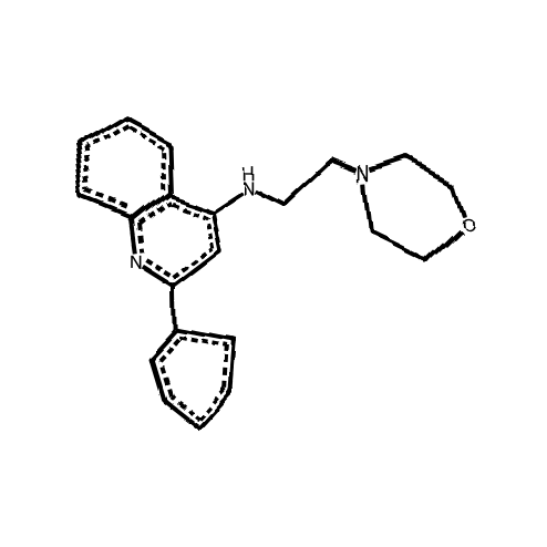 c1ccc(-c2cc(NCCN3CCOCC3)c3ccccc3n2)cc1